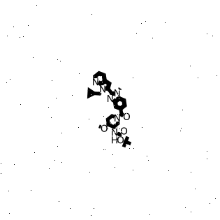 CO[C@@H]1CCN(C(=O)c2ccc3c(c2)nc(-c2cc4cccnc4n2CC2CC2)n3C)C[C@@H]1NC(=O)OC(C)(C)C